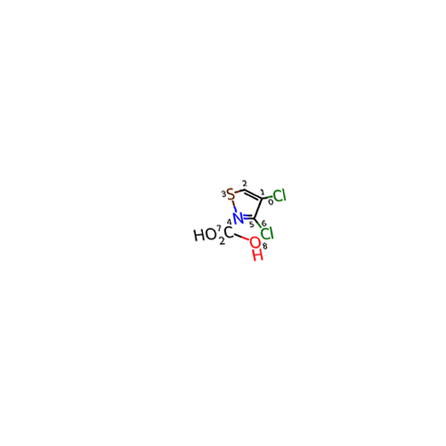 Clc1csnc1Cl.O=C(O)O